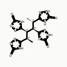 C[C@H](c1n[nH]c(=O)[nH]1)[C@@H](c1n[nH]c(=O)o1)[C@H](c1noc(=O)[nH]1)[C@@H](C)c1nsc(=O)[nH]1